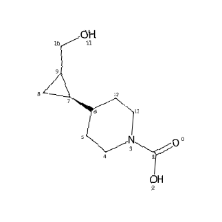 O=C(O)N1CCC([C@H]2CC2CO)CC1